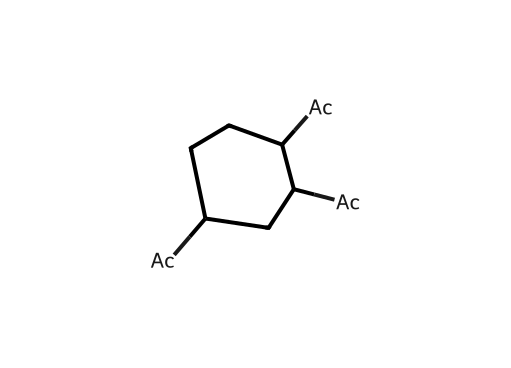 CC(=O)C1CCC(C(C)=O)C(C(C)=O)C1